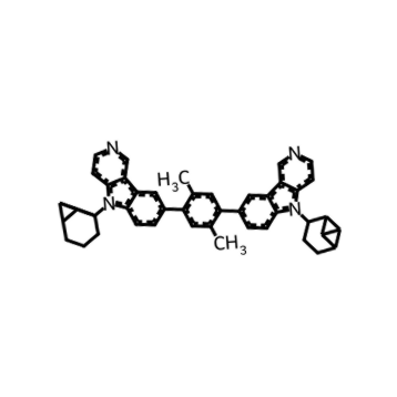 Cc1cc(-c2ccc3c(c2)c2cnccc2n3C23CCCC4C2C43)c(C)cc1-c1ccc2c(c1)c1cnccc1n2C1CCC2C3C2C31